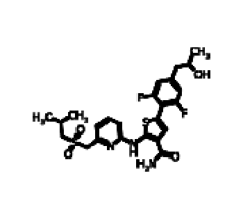 CC(C)CS(=O)(=O)Cc1cccc(Nc2sc(-c3c(F)cc(CC(C)O)cc3F)cc2C(N)=O)n1